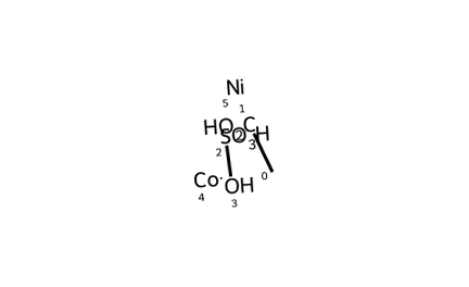 CC(=O)O.O=S(=O)(O)O.[Co].[Ni]